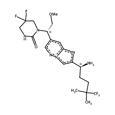 COC[C@H](c1cnn2cc([C@@H](N)CCC(C)(C)C(F)(F)F)nc2c1)N1CC(F)(F)CNC1=O